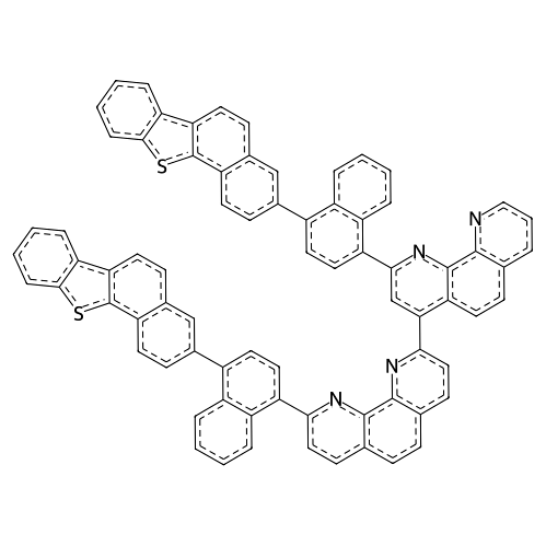 c1cnc2c(c1)ccc1c(-c3ccc4ccc5ccc(-c6ccc(-c7ccc8c(ccc9c%10ccccc%10sc89)c7)c7ccccc67)nc5c4n3)cc(-c3ccc(-c4ccc5c(ccc6c7ccccc7sc56)c4)c4ccccc34)nc12